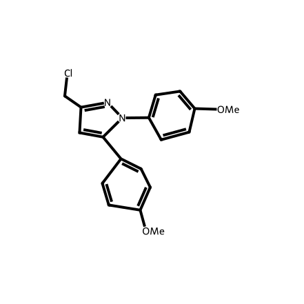 COc1ccc(-c2cc(CCl)nn2-c2ccc(OC)cc2)cc1